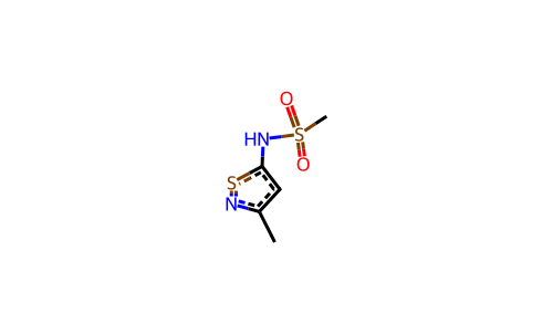 Cc1cc(NS(C)(=O)=O)sn1